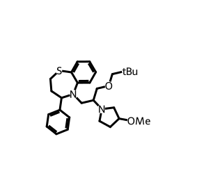 COC1CCN(C(COCC(C)(C)C)CN2c3ccccc3SCCC2c2ccccc2)C1